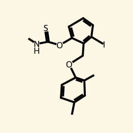 CNC(=S)Oc1cccc(I)c1COc1ccc(C)cc1C